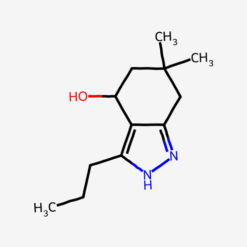 CCCc1[nH]nc2c1C(O)CC(C)(C)C2